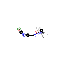 Cc1ccc(C(C)C)c(NC(=S)NC(=O)NCCC#Cc2ccc(-c3ncn(-c4ccc(OC(F)(F)F)cc4)n3)cc2)c1